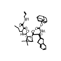 C=CCNC(=O)C(=O)C(CCC)NC(=O)[C@@H]1C2C(CN1C(=O)[C@@H](NC(=O)OC13CC4CC(CC(C4)C1)C3)C1Cc3ccccc3C1)C2(C)C